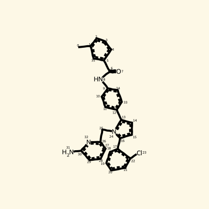 Cc1cccc(C(=O)Nc2ccc(-c3ccc(-c4ccccc4Cl)n3Cc3cccc(N)n3)cc2)c1